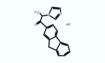 CC(C(=O)c1ccc2c(c1)Cc1ccccc1-2)n1ccnc1.Cl